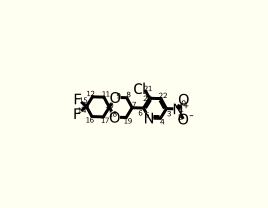 O=[N+]([O-])c1cnc(C2COC3(CCC(F)(F)CC3)OC2)c(Cl)c1